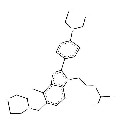 CCN(CC)c1ccc(-c2nc3c(Cl)c(CN4CCOCC4)ccc3n2CCOC(C)C)cn1